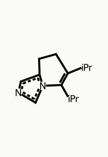 CC(C)C1=C(C(C)C)n2cncc2CC1